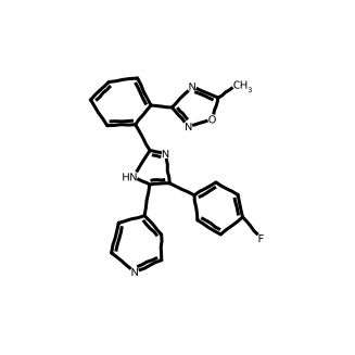 Cc1nc(-c2ccccc2-c2nc(-c3ccc(F)cc3)c(-c3ccncc3)[nH]2)no1